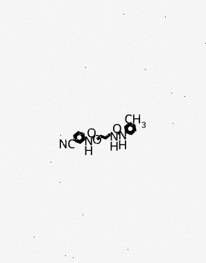 Cc1cccc(NC(=O)NCCCOC(=O)Nc2cccc(C#N)c2)c1